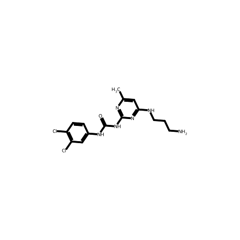 Cc1cc(NCCCN)nc(NC(=O)Nc2ccc(Cl)c(Cl)c2)n1